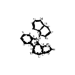 C1=CC2=C(n3c4ccccc4c4ccc5ccsc5c43)C=CCC2C=C1